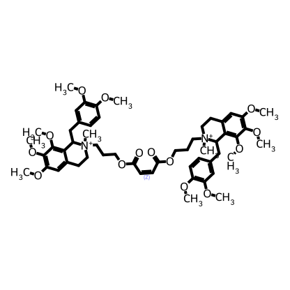 COc1ccc(CC2c3c(cc(OC)c(OC)c3OC)CC[N+]2(C)CCCOC(=O)/C=C\C(=O)OCCC[N+]2(C)CCc3cc(OC)c(OC)c(OC)c3C2Cc2ccc(OC)c(OC)c2)cc1OC